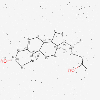 CC(O)CC[C@@H](C)[C@H]1CCC2C3CC=C4C[C@@H](O)CC[C@]4(C)C3CC[C@@]21C